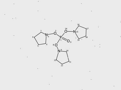 O=P(ON1CCCC1)(ON1CCCC1)ON1CCCC1